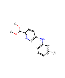 CCOC(OCC)c1ccc(Nc2cccc(C(F)(F)F)c2)cn1